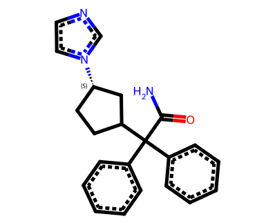 NC(=O)C(c1ccccc1)(c1ccccc1)C1CC[C@H](n2ccnc2)C1